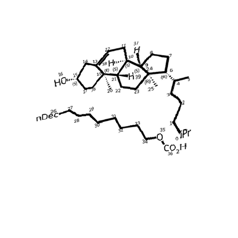 CC(C)CCCC(C)[C@H]1CC[C@H]2[C@@H]3CC=C4C[C@@H](O)CC[C@]4(C)[C@H]3CC[C@]12C.CCCCCCCCCCCCCCCCCCOC(=O)O